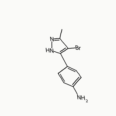 Cc1n[nH]c(-c2ccc(N)cc2)c1Br